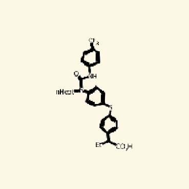 CCCCCCCN(C(=O)Nc1ccc(C(F)(F)F)cc1)c1ccc(Sc2ccc(C(CC)C(=O)O)cc2)cc1